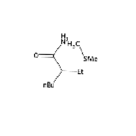 CCCCC(CC)C(N)=O.CSC